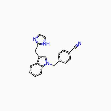 N#Cc1ccc(Cn2cc(Cc3ncc[nH]3)c3ccccc32)cc1